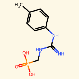 Cc1ccc(NC(=N)NCP(=O)(O)O)cc1